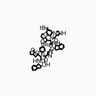 CC(C)(C)c1ccc(N(C(=O)c2cn(O[C@H]3Cc4ccccc4[C@H]3NC(=O)C(C3COC4CCOC43)N(C(=O)c3c[nH]cn3)c3ccc(C(C)(C)C)cc3)cn2)C(C(=O)N[C@@H]2c3ccccc3C[C@@H]2O)C2CC3CCOC3O2)cc1